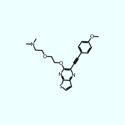 COc1ccc(C#Cc2nc3ccsc3nc2OCCOCCN(C)C)cc1